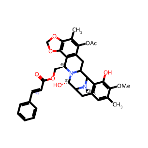 COc1c(C)cc2c(c1O)C1C3Cc4c(OC(C)=O)c(C)c5c(c4[C@H](COC(=O)/C=C/c4ccccc4)N3[C@@H](O)C(C2)N1C)OCO5